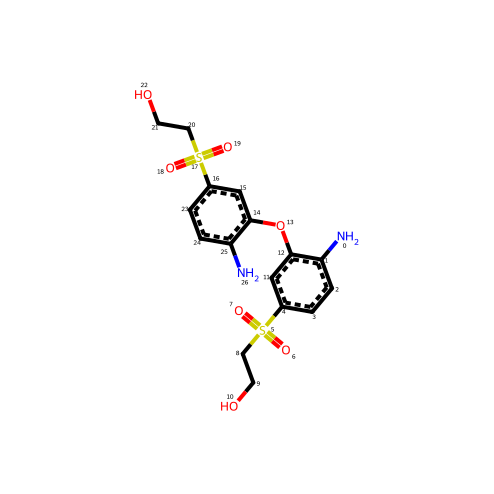 Nc1ccc(S(=O)(=O)CCO)cc1Oc1cc(S(=O)(=O)CCO)ccc1N